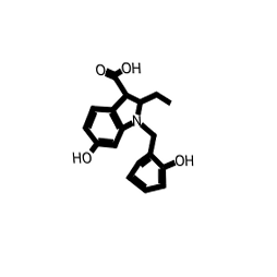 CCC1C(C(=O)O)c2ccc(O)cc2N1Cc1ccccc1O